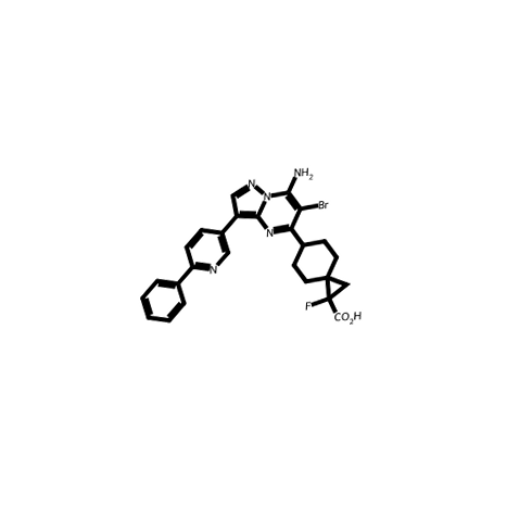 Nc1c(Br)c(C2CCC3(CC2)CC3(F)C(=O)O)nc2c(-c3ccc(-c4ccccc4)nc3)cnn12